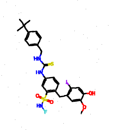 COc1cc(Cc2ccc(NC(=S)NCc3ccc(C(C)(C)C)cc3)cc2S(=O)(=O)NF)c(I)cc1O